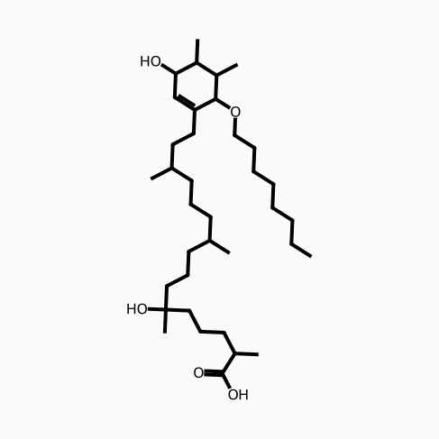 CCCCCCCCOC1C(CCC(C)CCCC(C)CCCC(C)(O)CCCC(C)C(=O)O)=CC(O)C(C)C1C